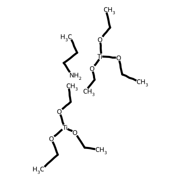 CCCN.CC[O][Ti]([O]CC)[O]CC.CC[O][Ti]([O]CC)[O]CC